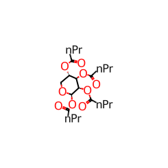 CCCC(=O)O[C@H]1OC[C@H](OC(=O)CCC)[C@@H](OC(=O)CCC)[C@H]1OC(=O)CCC